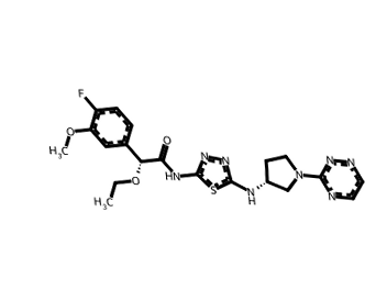 CCO[C@@H](C(=O)Nc1nnc(N[C@@H]2CCN(c3nccnn3)C2)s1)c1ccc(F)c(OC)c1